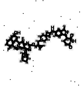 C#Cc1c(F)ccc2cc(O)cc(-c3ncc4c(N5CC6CCC(C5)N6)nc(OCC5(CN6CCC7(CC6)CC(Nc6ccc8c(c6)C(C)N=C8C6CCC(=O)NC6=O)C7)CC5)nc4c3F)c12